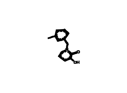 Cc1cccc(Cn2cccc(O)c2=O)c1